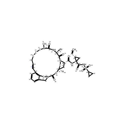 C=C[C@@H]1C[C@]1(NC(=O)[C@@H]1C[C@@H]2CN1C(=O)[C@H](C(C)C)NC(=O)N(C)CCCC/C=C/c1cccc3c1CN(C3)C(=O)O2)C(=O)NS(=O)(=O)C1CC1